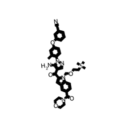 Cc1cc(Oc2cccc(C#N)c2)ccc1-n1ncc(C(=O)c2cc3cc(C(=O)N4CCOCC4)ccc3n2COCCS(C)(C)C)c1N